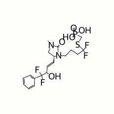 CN1C[C@H](/C=C/C(O)C(F)(F)c2ccccc2)N(CCCC(F)(F)SCP(=O)(O)O)C1=O